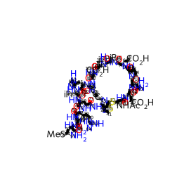 CC[C@H](C)[C@@H]1NC(=O)[C@H](CCC(=O)O)NC(=O)[C@@H]2CCCN2C(=O)[C@H](CC(N)=O)NC(=O)[C@H](CCC(=O)O)NC(=O)[C@@H](NC(C)=O)CSc2c3sccc3cn2CCCC[C@@H](C(=O)N[C@@H](Cc2cnc[nH]2)C(=O)N[C@H](C(=O)N[C@@H](CCC(N)=O)C(=O)N[C@@H](CCCNC(=N)N)C(=O)N[C@H](C(=O)N[C@@H](CCSC)C(N)=O)C(C)C)C(C)C)NC(=O)[C@H](CC(=O)O)NC(=O)[C@H](CC(C)C)NC1=O